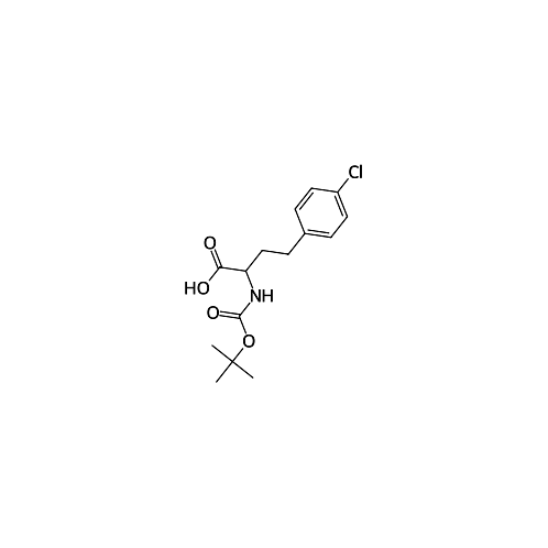 CC(C)(C)OC(=O)NC(CCc1ccc(Cl)cc1)C(=O)O